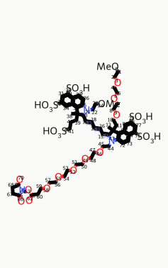 COCCOCCOCCOCCC1(C)\C(=C/C=C/C=C/C2=[N+](CCOC)c3ccc4c(S(=O)(=O)O)cc(S(=O)(=O)O)cc4c3C2(C)CCCS(=O)(=O)O)N(CCOCCOCCOCCOCCOCCC(=O)ON2C(=O)CCC2=O)c2ccc3c(S(=O)(=O)O)cc(S(=O)(=O)O)cc3c21